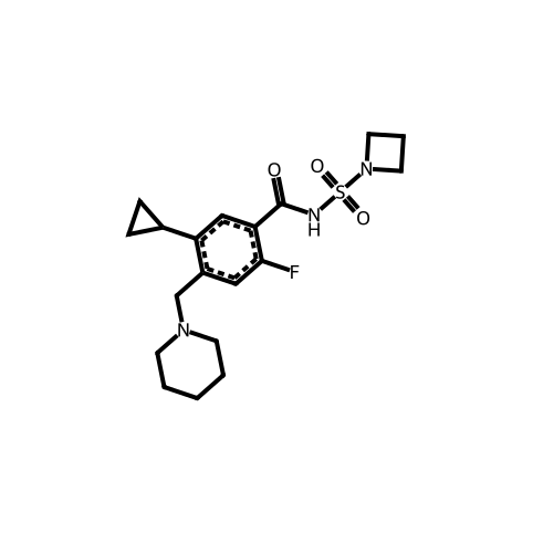 O=C(NS(=O)(=O)N1CCC1)c1cc(C2CC2)c(CN2CCCCC2)cc1F